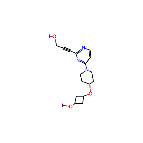 IOCC#Cc1nccc(N2CCC(OC3CC(OI)C3)CC2)n1